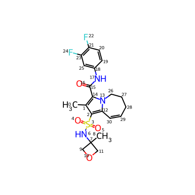 Cc1c(S(=O)(=O)NC2(C)COC2)c2n(c1C(=O)Nc1ccc(F)c(F)c1)CCCC=C2